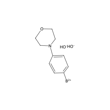 [B+2]c1ccc(N2CCOCC2)cc1.[OH-].[OH-]